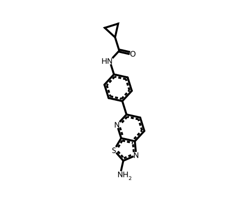 Nc1nc2ccc(-c3ccc(NC(=O)C4CC4)cc3)nc2s1